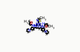 Cc1ccc(Nc2cc(N3CCCCC3)ccc2C2=CC3=CC(c4ccc(N5CCCCC5)cc4Nc4ccc(C)o4)=NC4=NC(c5ncc(C)s5)=NC(=N2)N34)o1